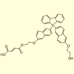 O=C(O)C=CC(=O)OCCOc1ccc2cc(C3(c4ccc5cc(OCCO)ccc5c4)c4ccccc4-c4ccccc43)ccc2c1